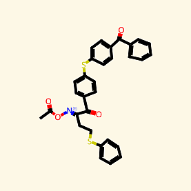 CC(=O)O/N=C(\CCSc1ccccc1)C(=O)c1ccc(Sc2ccc(C(=O)c3ccccc3)cc2)cc1